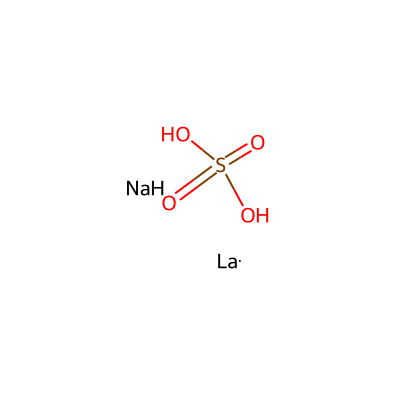 O=S(=O)(O)O.[La].[NaH]